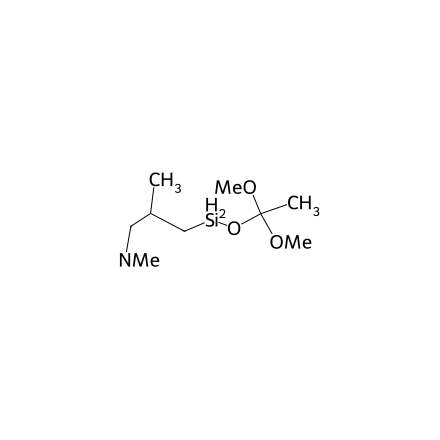 CNCC(C)C[SiH2]OC(C)(OC)OC